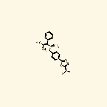 C/C(N)=C(\c1ccccc1)N(N)Cc1ccc(-c2nnc(C(F)F)o2)cc1